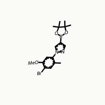 COc1cc(-n2cc(B3OC(C)(C)C(C)(C)O3)cn2)c(C)cc1Br